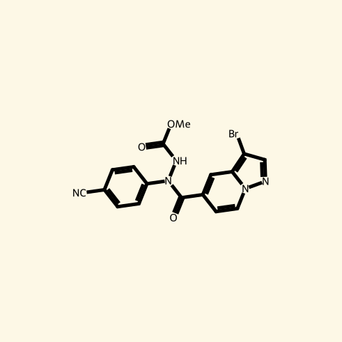 COC(=O)NN(C(=O)c1ccn2ncc(Br)c2c1)c1ccc(C#N)cc1